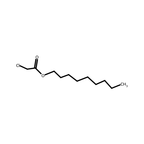 CCCCCCCCCOC(=O)CCl